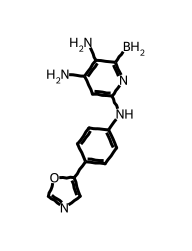 Bc1nc(Nc2ccc(-c3cnco3)cc2)cc(N)c1N